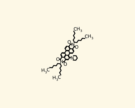 CCCCCCC(CCCCCC)N1C(=O)c2ccc3c4ccc5c6c(cc(N7CCCCC7)c(c7ccc(c2c37)C1=O)c64)C(=O)N(C(CCCCCC)CCCCCC)C5=O